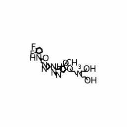 COc1cc2c(Nc3cnn(CC(=O)Nc4cccc(F)c4F)c3)ncnc2cc1OCCCN(CCO)CCO